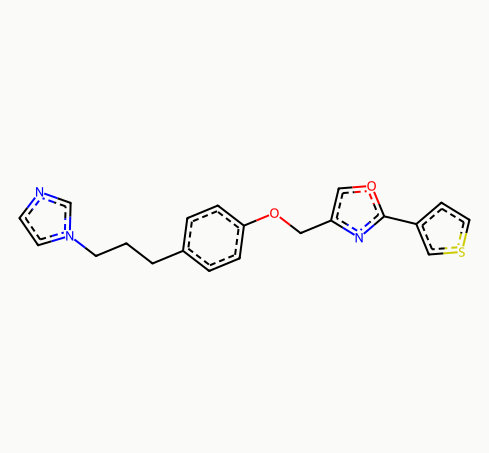 c1cn(CCCc2ccc(OCc3coc(-c4ccsc4)n3)cc2)cn1